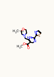 COC(=O)C1=C(CN2CCO[C@@H](C)C2)NC(c2nccs2)=NC1